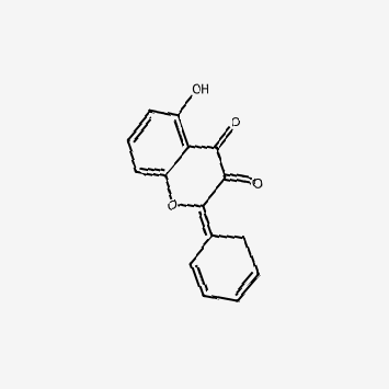 O=C1C(=O)c2c(O)cccc2OC1=C1C=CC=CC1